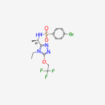 CCn1c(OCC(F)(F)F)nnc1[C@@H](C)NS(=O)(=O)c1ccc(Br)cc1